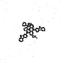 Cc1cc2c3c(c1)N(c1ccc4c(c1)sc1ccccc14)c1cccc4c1B3c1c(cccc1[Si]4(C)c1ccccc1)N2c1ccc2c(c1)sc1ccccc12